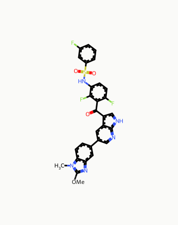 COc1nc2cc(-c3cnc4[nH]cc(C(=O)c5c(F)ccc(NS(=O)(=O)c6cccc(F)c6)c5F)c4c3)ccc2n1C